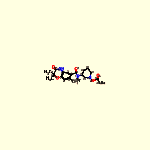 CC(C)N(C(=O)c1cc2c(cc1C(F)(F)F)OC(C)(C)C(=O)N2)C1CCCN(OC(=O)C(C)(C)C)C1